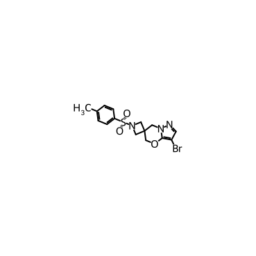 Cc1ccc(S(=O)(=O)N2CC3(COc4c(Br)cnn4C3)C2)cc1